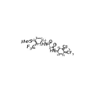 CSc1ccc(CNC(=O)CC(=O)Nc2ccc(C(F)(F)F)c(C(F)(F)F)c2)cc1C(F)(F)F